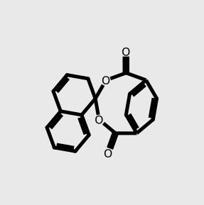 O=C1OC2(CC=Cc3ccccc32)OC(=O)c2ccc1cc2